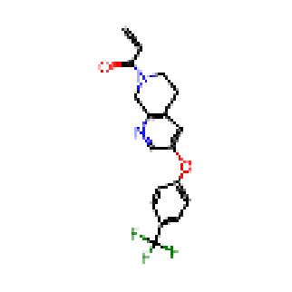 C=CC(=O)N1CCc2cc(Oc3ccc(C(F)(F)F)cc3)cnc2C1